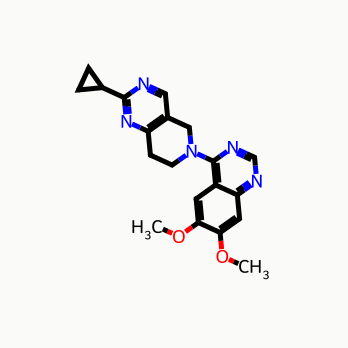 COc1cc2ncnc(N3CCc4nc(C5CC5)ncc4C3)c2cc1OC